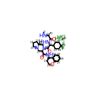 CN[C@@H](C)C(=O)N[C@H](C(=O)N1C[C@H]2CCCN2CC1C(=O)N[C@@H]1CCOc2ccccc21)C1CCC(F)(F)CC1.Cl.Cl